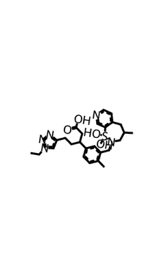 CCn1cc(CCC(CC(=O)O)c2ccc(C)c(CN3CC(C)Cc4ccncc4S3(O)O)c2)nn1